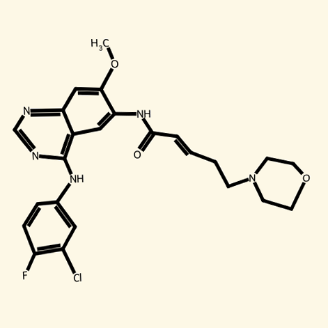 COc1cc2ncnc(Nc3ccc(F)c(Cl)c3)c2cc1NC(=O)C=CCCN1CCOCC1